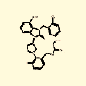 COCC(C)NCc1cccc(F)c1N1CCC(n2c(=O)n(Cc3ccccc3C(F)(F)F)c3c(OC)cccc32)C1